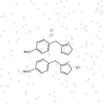 COc1ccc(CC2=[C-]CC=C2)cc1.COc1ccc(CC2=[C-]CC=C2)cc1.[Cl-].[Cl-].[Ti+2]